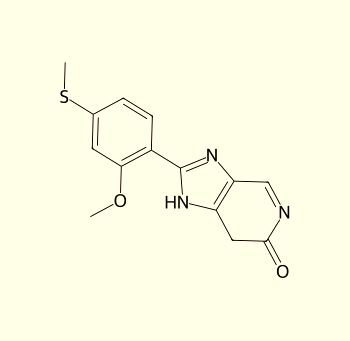 COc1cc(SC)ccc1-c1nc2c([nH]1)CC(=O)N=C2